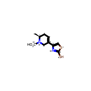 C[C@H]1CC=C(c2csc(S)n2)CN1C(=O)O